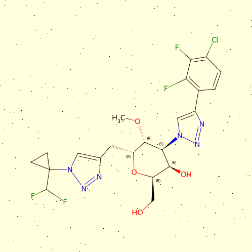 CO[C@@H]1[C@@H](n2cc(-c3ccc(Cl)c(F)c3F)nn2)[C@@H](O)[C@@H](CO)O[C@@H]1Cc1cn(C2(C(F)F)CC2)nn1